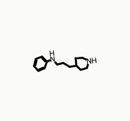 c1ccc(NCCCC2CCNCC2)cc1